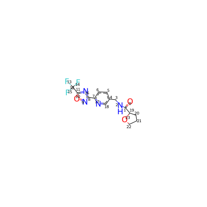 O=C(NCc1ccc(-c2noc(C(F)(F)F)n2)nc1)C1CCCO1